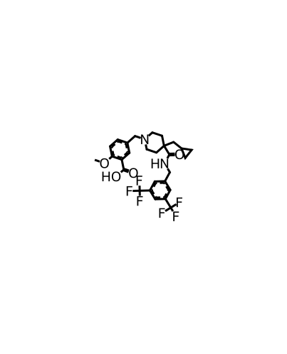 COc1ccc(CN2CCC(CC3CC3)(C(=O)NCc3cc(C(F)(F)F)cc(C(F)(F)F)c3)CC2)cc1C(=O)O